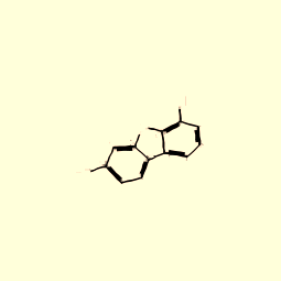 Clc1cccc2c1sc1cc(Br)ccc12